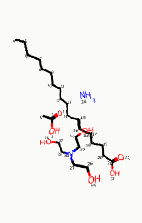 CC(=O)O.CCCCCCCCCCCCCCCCCC(=O)O.N.OCCN(CCO)CCO